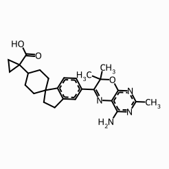 Cc1nc(N)c2c(n1)OC(C)(C)C(c1ccc3c(c1)CCC31CCC(C3(C(=O)O)CC3)CC1)=N2